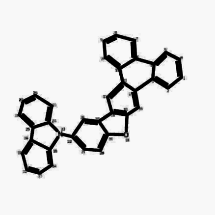 c1ccc2c(c1)c1ccccc1c1cc3c(cc21)oc1ccc(-n2c4ccccc4c4ccccc42)cc13